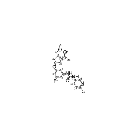 COCC1CC(Oc2cc(F)cc(NC(=O)Nc3ccc(C)nc3)c2)CN1C(C)=O